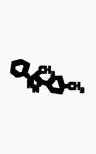 Cc1ccc(-c2nnn(-c3ccccc3)c2C)cc1